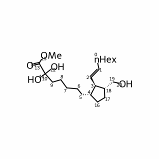 CCCCCCC=C[C@@H]1[C@@H](CCCCCC(O)(O)C(=O)OC)CC[C@H]1CO